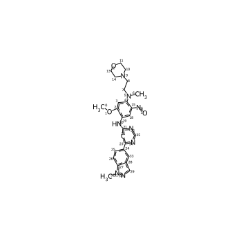 COc1cc(N(C)CCN2CCOCC2)c(N=O)cc1Nc1cc(-c2ccc3c(cnn3C)c2)ncn1